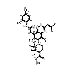 CCc1c(N2CCN(C(=O)OC(C)(C)C)[C@H]3CC[C@@H]32)c(=O)c2nc(C=C(C)C)nnc2n1CC(=O)Nc1ccc(C(F)(F)F)cc1Cl